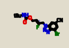 CC(C)(C)NC(=O)OC/C=C(\F)Cn1nnc2c(Br)cc(C#N)cc21